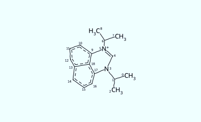 CC(C)N1C=[N+](C(C)C)c2cccc3cccc1c23